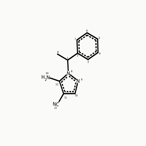 CC(c1ccccc1)n1ncc(C#N)c1N